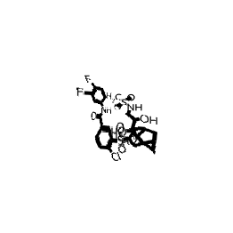 CS(=O)(=O)NCC(O)C(O)[C@]1(O)C2CC3CC31CC(S(=O)(=O)c1cc(C(=O)Nc3ccc(F)c(F)c3)ccc1Cl)C2